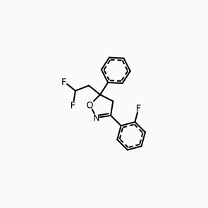 Fc1ccccc1C1=NOC(CC(F)F)(c2ccccc2)C1